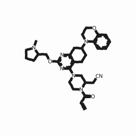 C=CC(=O)N1CCN(c2nc(OCC3CCCN3C)nc3c2CCC(N2CCOc4ccccc42)C3)CC1CC#N